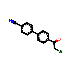 N#Cc1ccc(-c2ccc(C(=O)CBr)cc2)cc1